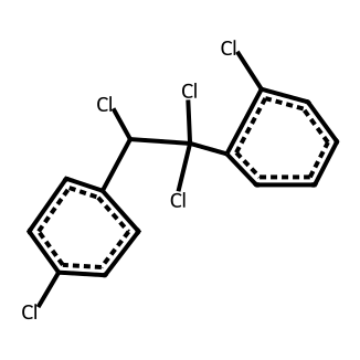 Clc1ccc(C(Cl)C(Cl)(Cl)c2ccccc2Cl)cc1